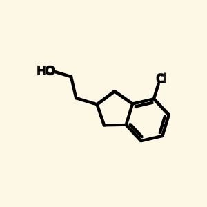 OCCC1Cc2cccc(Cl)c2C1